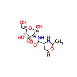 CC(=O)NC(CS)C(=O)N[C@@H]1[C@@H](O)[C@H](O)[C@@H](CO)O[C@@H]1O